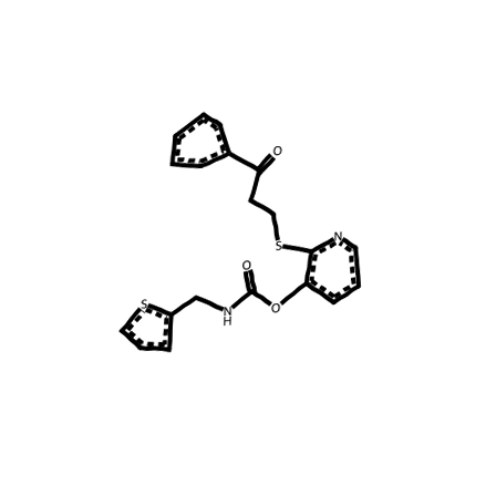 O=C(NCc1cccs1)Oc1cccnc1SCCC(=O)c1ccccc1